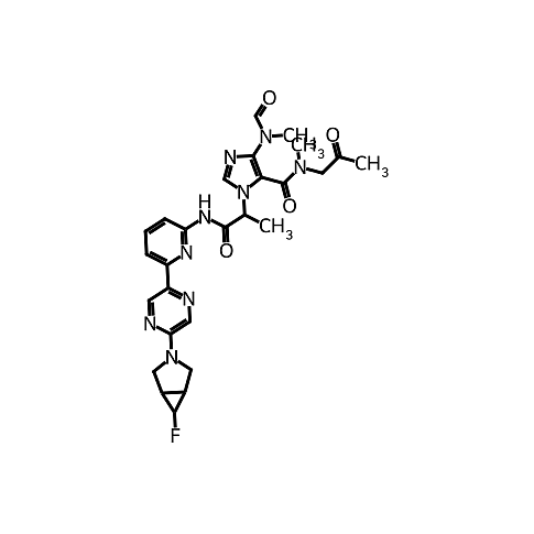 CC(=O)CN(C)C(=O)c1c(N(C)C=O)ncn1C(C)C(=O)Nc1cccc(-c2cnc(N3CC4C(F)C4C3)cn2)n1